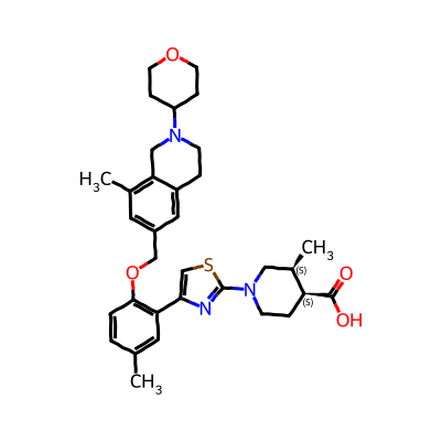 Cc1ccc(OCc2cc(C)c3c(c2)CCN(C2CCOCC2)C3)c(-c2csc(N3CC[C@H](C(=O)O)[C@H](C)C3)n2)c1